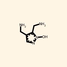 NCc1cnn(O)c1CN